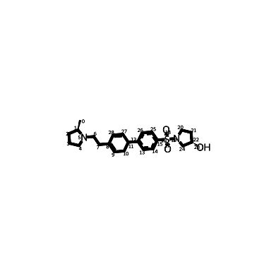 C[C@@H]1CCCN1CCC1=CCC(c2ccc(S(=O)(=O)N3CC[C@H](O)C3)cc2)C=C1